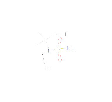 CC(C)CN(C(C)(C)C(=O)O)S(N)(=O)=O